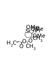 C=CC(=O)OC(C)OC1(C)CCC[Si](OC)(OC)C1(CCC)OC